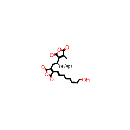 CCCCCCC[C@@H](CC1=C(/C=C/CCC/C=C\CO)C(=O)OC1=O)C1=C(C)C(=O)OC1=O